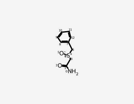 NC(=O)C[S@@+]([O-])Cc1ccccc1